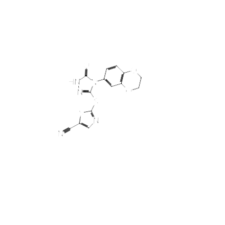 N#Cc1cnc(Sc2n[nH]c(=O)n2-c2ccc3c(c2)OCCO3)s1